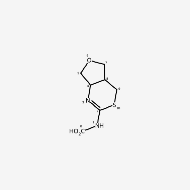 O=C(O)NC1=NC2COCC2CS1